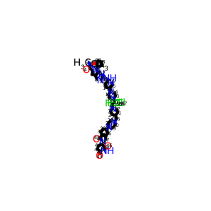 CN(C)C(=O)c1cc2cnc(Nc3ccc(N4CCN(CCN5CCC(CN6CCN(c7ccc8c(c7)CN([C@H]7CCC(=O)NC7=O)C8=O)CC6)CC5)CC4)cn3)nc2n1C1CCCC1.Cl.Cl.Cl